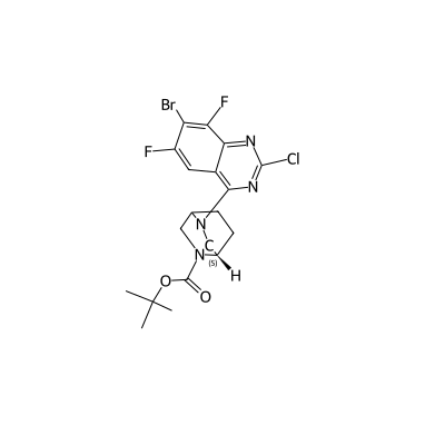 CC(C)(C)OC(=O)N1CC2CC[C@H]1CN2c1nc(Cl)nc2c(F)c(Br)c(F)cc12